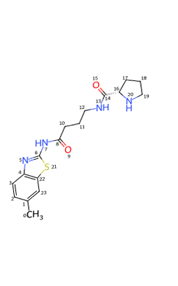 Cc1ccc2nc(NC(=O)CCCNC(=O)[C@@H]3CCCN3)sc2c1